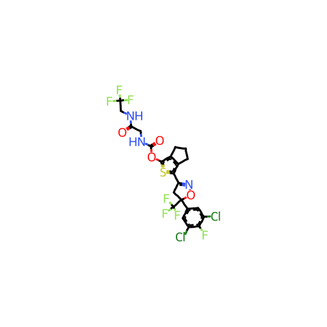 O=C(CNC(=O)Oc1sc(C2=NOC(c3cc(Cl)c(F)c(Cl)c3)(C(F)(F)F)C2)c2c1CCC2)NCC(F)(F)F